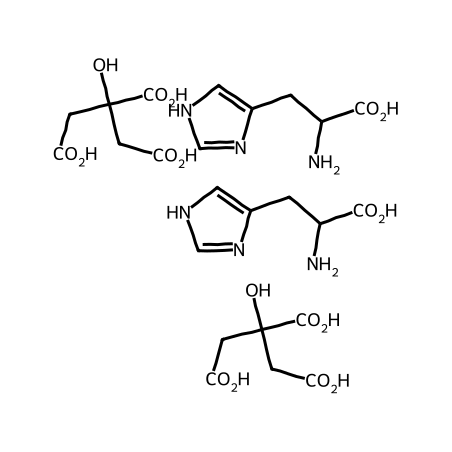 NC(Cc1c[nH]cn1)C(=O)O.NC(Cc1c[nH]cn1)C(=O)O.O=C(O)CC(O)(CC(=O)O)C(=O)O.O=C(O)CC(O)(CC(=O)O)C(=O)O